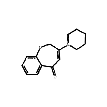 O=C1C=C(N2CCCCC2)COc2ccccc21